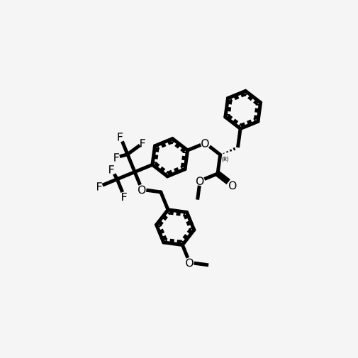 COC(=O)[C@@H](Cc1ccccc1)Oc1ccc(C(OCc2ccc(OC)cc2)(C(F)(F)F)C(F)(F)F)cc1